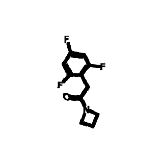 O=C(Cc1c(F)cc(F)cc1F)N1CCC1